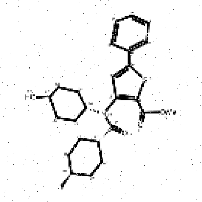 COC(=O)c1sc(-c2ccccc2)cc1N(C(=O)[C@H]1CC[C@H](C)CC1)[C@H]1CC[C@H](O)CC1